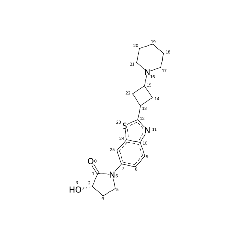 O=C1[C@@H](O)CCN1c1ccc2nc(C3CC(N4CCCCC4)C3)sc2c1